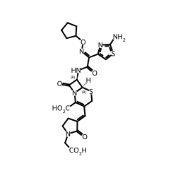 Nc1nc(C(=NOC2CCCC2)C(=O)N[C@@H]2C(=O)N3C(C(=O)O)=C(C=C4CCN(CC(=O)O)C4=O)CS[C@H]23)cs1